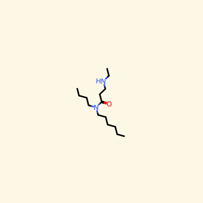 CCCCCCN(CCCC)C(=O)CCNCC